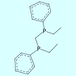 CCP(CP(CC)c1ccccc1)c1ccccc1